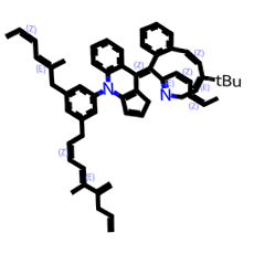 C=CCC(=C)/C(C)=C/C=C\Cc1cc(C/C(C)=C/C=C\C)cc(N2C3=C(CC=C3)\C(=C3C(/C=C\C=C/C)=N/C/C=C(C(C)(C)C)\C=C/c4ccccc4/3)c3ccccc32)c1